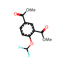 COC(=O)c1[c]c(C(=O)OC)c(OC(F)F)cc1